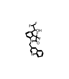 O=C1N(Cc2cnc3ccccc3c2)c2cccc(C(O)C(F)F)c2C1(F)F